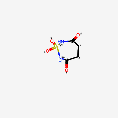 O=C1CCC(=O)NS(=O)(=O)N1